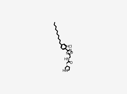 CCCCCCCCCCc1ccc(-c2noc(CNC(=O)C[C@@H]3CCNC3)n2)cc1.Cl